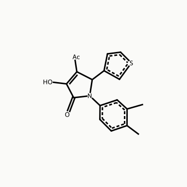 CC(=O)C1=C(O)C(=O)N(c2ccc(C)c(C)c2)C1c1ccsc1